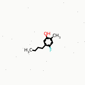 CCCCc1cc(O)c(C)cc1F